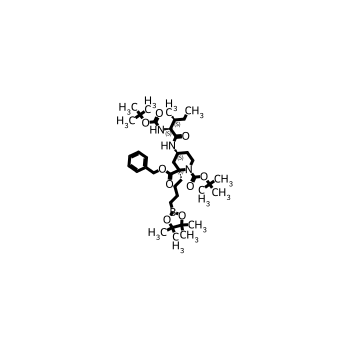 CC[C@H](C)[C@H](NC(=O)OC(C)(C)C)C(=O)N[C@H]1CCN(C(=O)OC(C)(C)C)[C@@](CCCCB2OC(C)(C)C(C)(C)O2)(C(=O)OCc2ccccc2)C1